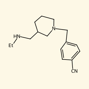 CCNCC1CCCN(Cc2ccc(C#N)cc2)C1